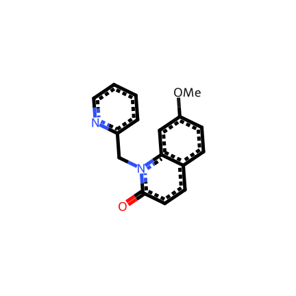 COc1ccc2ccc(=O)n(Cc3ccccn3)c2c1